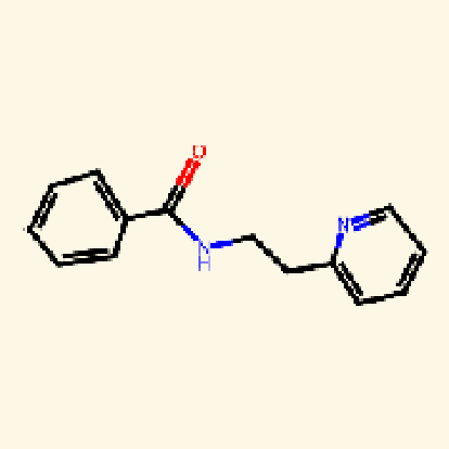 O=C(NCCc1ccccn1)c1cc[c]cc1